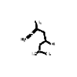 C=C=C(C)CC(C)CN(C)C